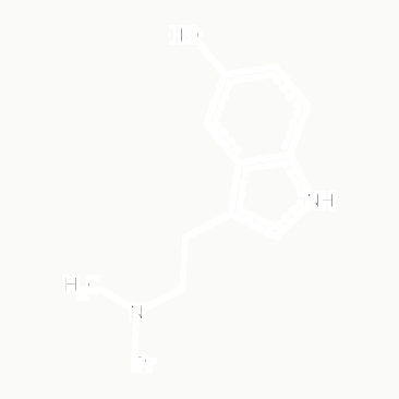 CC(C)N(C)CCc1c[nH]c2ccc(O)cc12